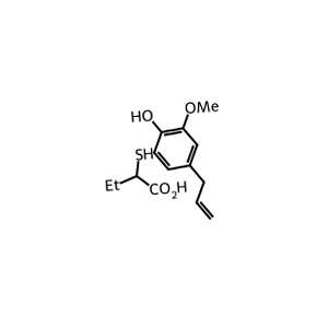 C=CCc1ccc(O)c(OC)c1.CCC(S)C(=O)O